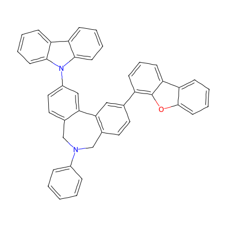 c1ccc(N2Cc3ccc(-c4cccc5c4oc4ccccc45)cc3-c3cc(-n4c5ccccc5c5ccccc54)ccc3C2)cc1